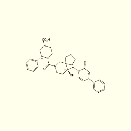 O=C(O)N1CCN(C(=O)N2CC[C@@](O)(Cn3ccc(-c4ccccc4)cc3=O)C3(CCCC3)C2)[C@H](c2ccccc2)C1